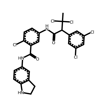 CC(Cl)(Cl)C(C(=O)Nc1ccc(Cl)c(C(=O)Nc2ccc3c(c2)CCN3)c1)c1cc(Cl)cc(Cl)c1